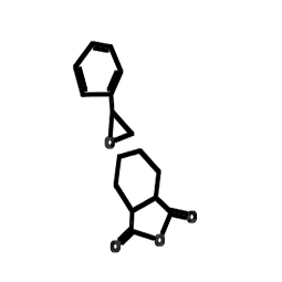 O=C1OC(=O)C2CCCCC12.c1ccc(C2CO2)cc1